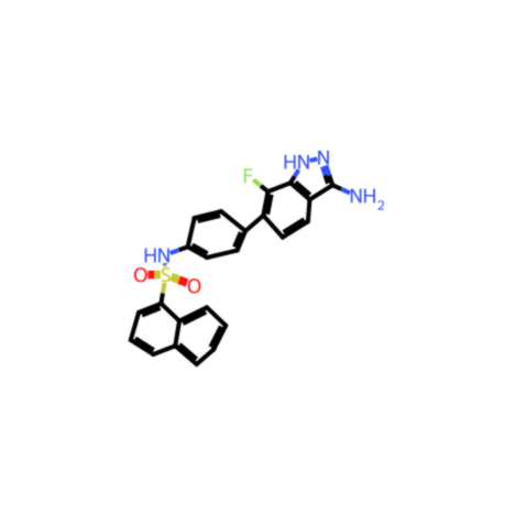 Nc1n[nH]c2c(F)c(-c3ccc(NS(=O)(=O)c4cccc5ccccc45)cc3)ccc12